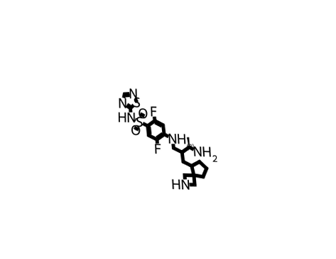 C[C@@H](N)C(CNc1cc(F)c(S(=O)(=O)Nc2ncns2)cc1F)CC1CCCC12CNC2